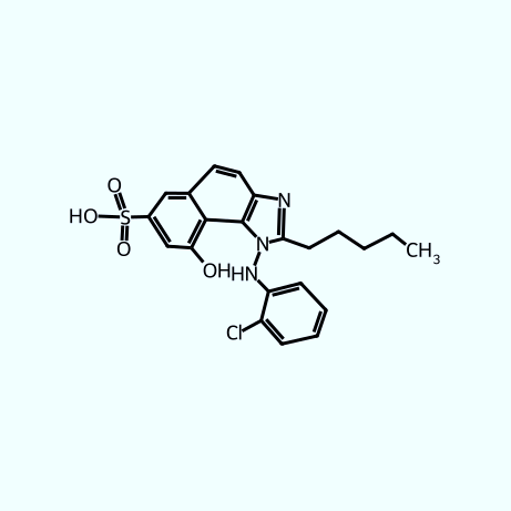 CCCCCc1nc2ccc3cc(S(=O)(=O)O)cc(O)c3c2n1Nc1ccccc1Cl